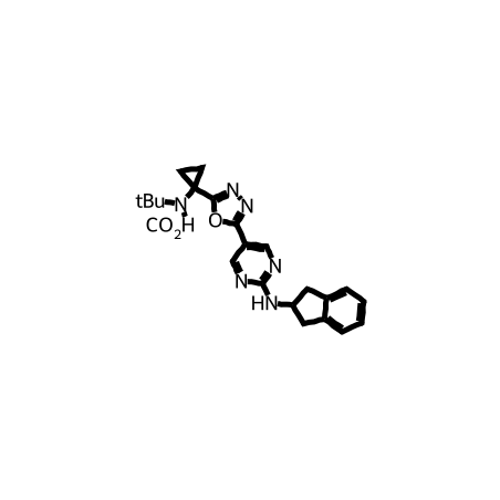 CC(C)(C)N(C(=O)O)C1(c2nnc(-c3cnc(NC4Cc5ccccc5C4)nc3)o2)CC1